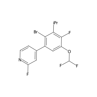 CC(C)c1c(F)c(OC(F)F)cc(-c2ccnc(F)c2)c1Br